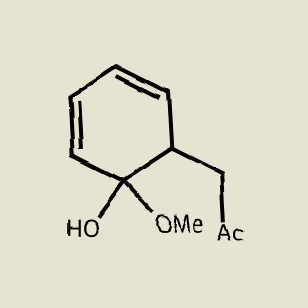 COC1(O)C=CC=CC1CC(C)=O